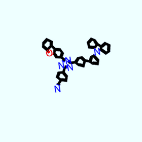 N#Cc1ccc(-c2nc(-c3ccc(-c4cccc(-n5c6ccccc6c6ccccc65)c4)cc3)nc(-c3ccc4c(c3)oc3ccccc34)n2)cc1